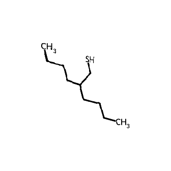 CCCCC(CS)CCCC